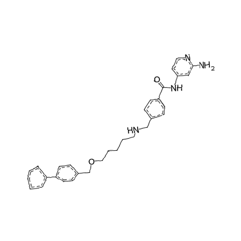 Nc1cc(NC(=O)c2ccc(CNCCCCCOCc3ccc(-c4ccccc4)cc3)cc2)ccn1